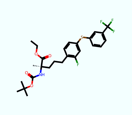 CCOC(=O)[C@@](C)(CCCc1ccc(Sc2cccc(C(F)(F)F)c2)cc1F)NC(=O)OC(C)(C)C